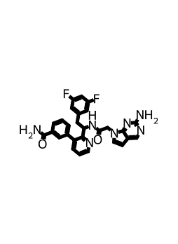 NC(=O)c1cccc(-c2cccnc2C(Cc2cc(F)cc(F)c2)NC(=O)Cn2ccc3cnc(N)nc32)c1